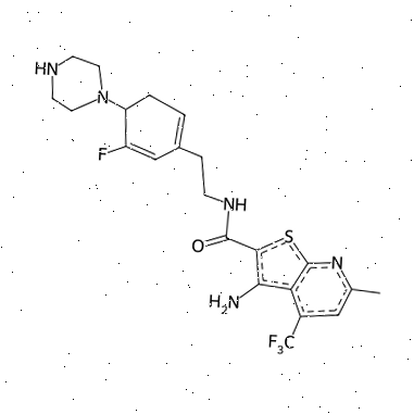 Cc1cc(C(F)(F)F)c2c(N)c(C(=O)NCCC3=CCC(N4CCNCC4)C(F)=C3)sc2n1